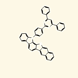 c1ccc(-c2cc(-c3ccccc3)nc(-c3ccc(-n4c5ccccc5c5ccc6c7cc8ccccc8cc7oc6c54)cc3)n2)cc1